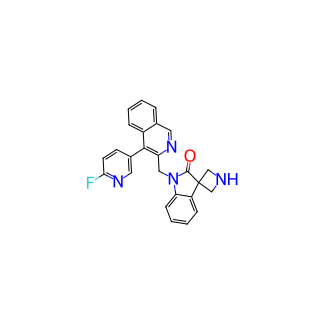 O=C1N(Cc2ncc3ccccc3c2-c2ccc(F)nc2)c2ccccc2C12CNC2